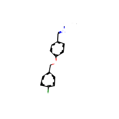 CCCCCCN=Cc1ccc(OCc2ccc(Cl)cc2)cc1